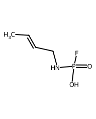 CC=CCNP(=O)(O)F